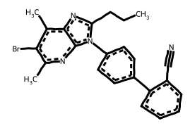 CCCc1nc2c(C)c(Br)c(C)nc2n1-c1ccc(-c2ccccc2C#N)cc1